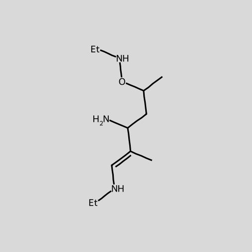 CCN/C=C(\C)C(N)CC(C)ONCC